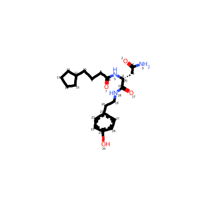 NC(=O)C[C@@H](NC(=O)CCCC1CCCC1)C(=O)NCCc1ccc(O)cc1